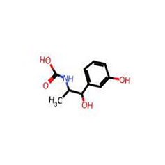 CC(NC(=O)O)C(O)c1cccc(O)c1